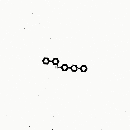 C1=CC(c2ccc(Nc3cccc(-c4ccccc4)c3)cc2)CC=C1c1ccccc1